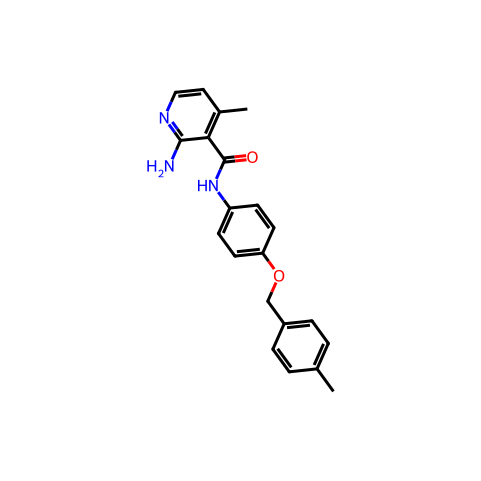 Cc1ccc(COc2ccc(NC(=O)c3c(C)ccnc3N)cc2)cc1